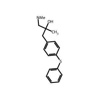 CNCC(C)(O)Cc1ccc(Sc2ccccc2)cc1